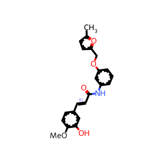 COc1ccc(/C=C/C(=O)Nc2cccc(OCc3ccc(C)o3)c2)cc1O